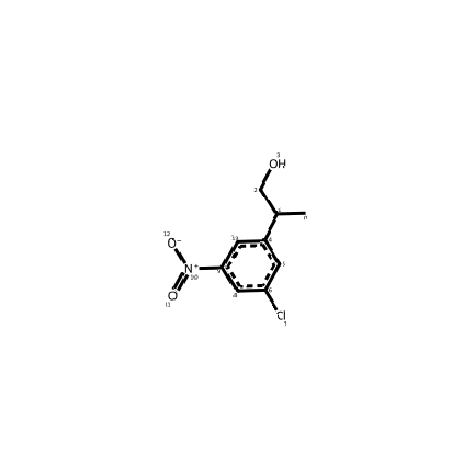 C[C](CO)c1cc(Cl)cc([N+](=O)[O-])c1